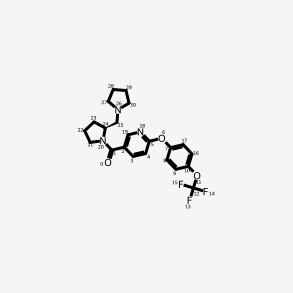 O=C(c1ccc(Oc2ccc(OC(F)(F)F)cc2)nc1)N1CCC[C@H]1CN1CCCC1